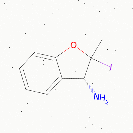 CC1(I)Oc2ccccc2[C@H]1N